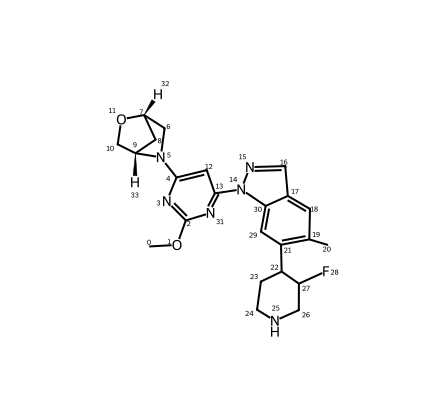 COc1nc(N2C[C@@H]3C[C@H]2CO3)cc(-n2ncc3cc(C)c(C4CCNCC4F)cc32)n1